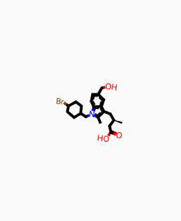 Cc1c(C[C@@H](C)CC(=O)O)c2cc(CO)ccc2n1CC1CCC(Br)CC1